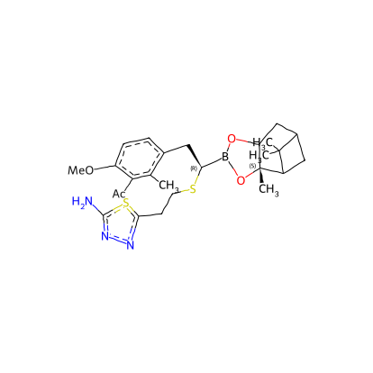 COc1ccc(C[C@H](SCCc2nnc(N)s2)B2OC3CC4CC(C4(C)C)[C@]3(C)O2)c(C)c1C(C)=O